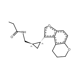 CCC(=O)NC[C@@H]1C[C@H]1c1coc2ccc3c(c12)CCCO3